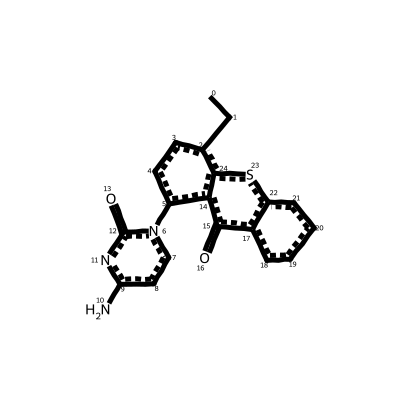 CCc1ccc(-n2ccc(N)nc2=O)c2c(=O)c3ccccc3sc12